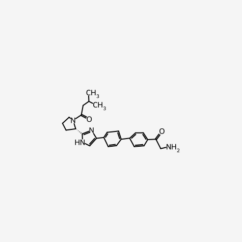 CC(C)CC(=O)N1CCC[C@H]1c1nc(-c2ccc(-c3ccc(C(=O)CN)cc3)cc2)c[nH]1